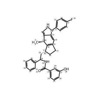 C[C@H]1C2=CNN(c3ccc(F)cc3)C2=CC2=C1[C@@H](CC(NC(=O)c1cccc(O)n1)c1ccccc1)CC2